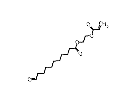 C=CC(=O)OCCOC(=O)CCCCCCCCCC=O